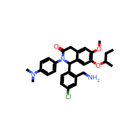 CCC(C)Oc1cc2c(cc1OC)CC(=O)N(c1ccc(N(C)C)cc1)C2c1ccc(Cl)cc1CN